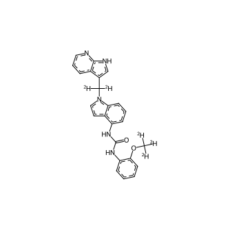 [2H]C([2H])([2H])Oc1ccccc1NC(=O)Nc1cccc2c1ccn2C([2H])([2H])c1c[nH]c2ncccc12